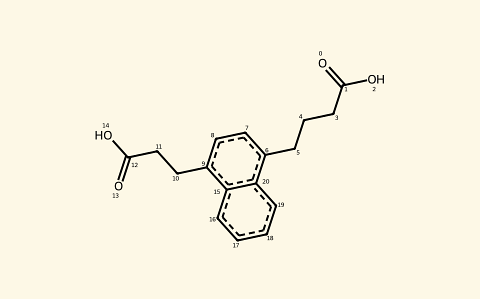 O=C(O)CCCc1ccc(CCC(=O)O)c2ccccc12